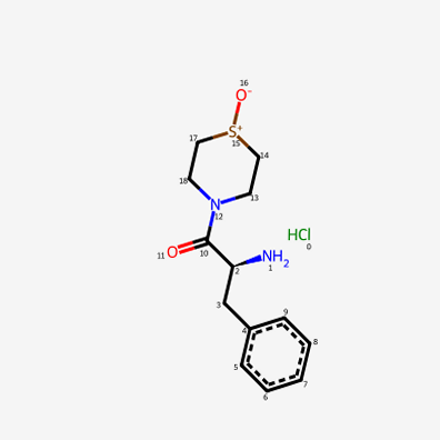 Cl.N[C@@H](Cc1ccccc1)C(=O)N1CC[S+]([O-])CC1